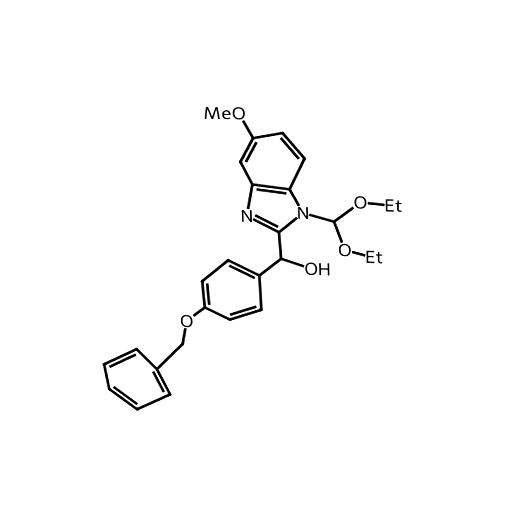 CCOC(OCC)n1c(C(O)c2ccc(OCc3ccccc3)cc2)nc2cc(OC)ccc21